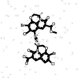 COC(=O)c1cc2c([N+]#N)c(Cl)c(Br)c3c2n(c1=O)[C@@H](C)CO3.C[C@H]1COc2c(Br)c(Cl)cc3cc(C(=O)[O-])c(=O)n1c23